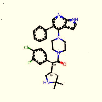 CC1(C)C[C@@H]([C@H](C(=O)N2CCN(c3c(-c4ccccc4)cnc4[nH]ccc34)CC2)c2ccc(Cl)c(F)c2)CN1